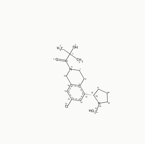 CC(C)(O)C(=O)N1CCc2c(cc(Cl)cc2[C@@H]2CCCN2C(=O)O)C1